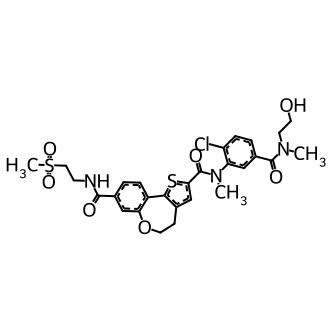 CN(CCO)C(=O)c1ccc(Cl)c(N(C)C(=O)c2cc3c(s2)-c2ccc(C(=O)NCCS(C)(=O)=O)cc2OCC3)c1